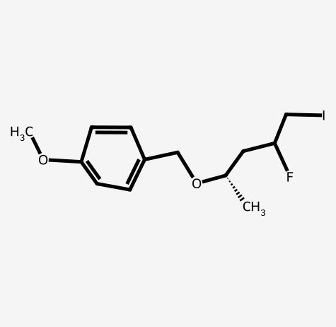 COc1ccc(CO[C@@H](C)CC(F)CI)cc1